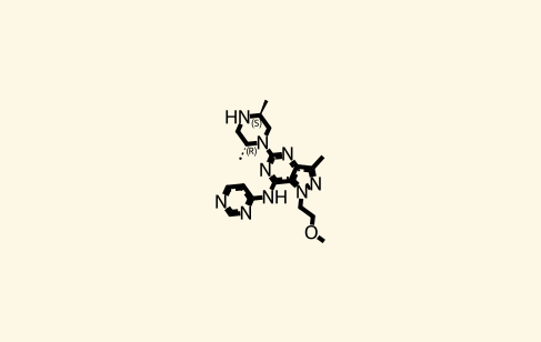 COCCn1nc(C)c2nc(N3C[C@H](C)NC[C@H]3C)nc(Nc3ccncn3)c21